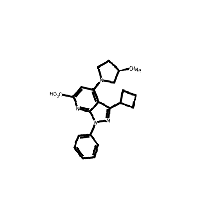 CO[C@@H]1CCN(c2cc(C(=O)O)nc3c2c(C2CCC2)nn3-c2ccccc2)C1